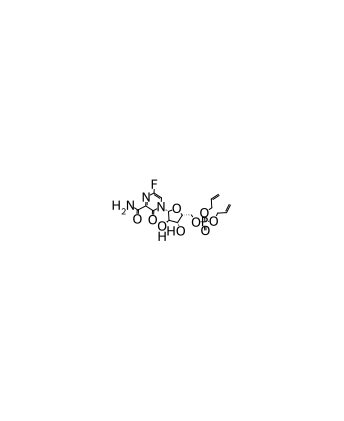 C=CCOP(=O)(OCC=C)OC[C@H]1O[C@@H](n2cc(F)nc(C(N)=O)c2=O)[C@H](O)[C@H]1O